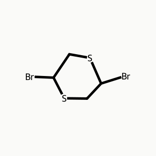 BrC1CSC(Br)CS1